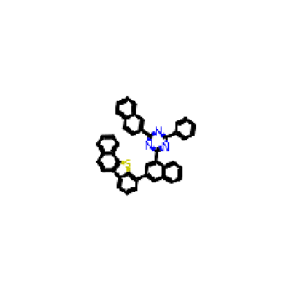 c1ccc(-c2nc(-c3ccc4ccccc4c3)nc(-c3cc(-c4cccc5c4sc4c6ccccc6ccc54)cc4ccccc34)n2)cc1